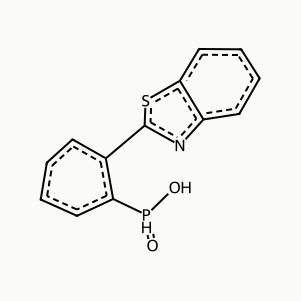 O=[PH](O)c1ccccc1-c1nc2ccccc2s1